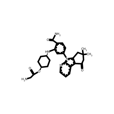 CC1(C)CC(=O)c2c(n(-c3ccc(C(N)=O)c(N[C@H]4CC[C@H](OC(=O)CN)CC4)c3)c3ncccc23)C1